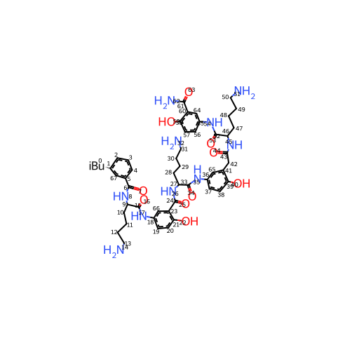 CC[C@@H](C)c1cccc(C(=O)NC(CCCCN)C(=O)Nc2ccc(O)c(C(=O)NC(CCCCN)C(=O)Nc3ccc(O)c(CC(=O)NC(CCCCN)C(=O)Nc4ccc(O)c(C(N)=O)c4)c3)c2)c1